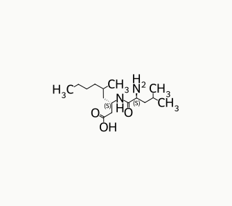 CCCCC(C)C[C@@H](CC(=O)O)NC(=O)[C@@H](N)CC(C)C